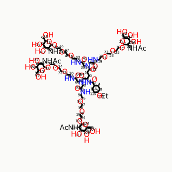 CCOC1CCC(C(=O)NC(CCC(=O)N(CC(=O)NCCOCCOCCOC2OC(CO)C(O)C(O)C2NC(C)=O)CC(=O)NCCOCCOCCOC2OC(CO)C(O)C(O)C2NC(C)=O)C(=O)N(CC(=O)NCCOCCOCCOC2OC(CO)C(O)C(O)C2NC(C)=O)CC(=O)NCCOCCOCCOC2OC(CO)C(O)C(O)C2NC(C)=O)CC1